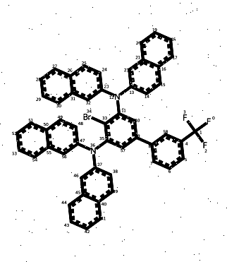 FC(F)(F)c1cccc(-c2cc(N(c3ccc4ccccc4c3)c3ccc4ccccc4c3)c(Br)c(N(c3ccc4ccccc4c3)c3ccc4ccccc4c3)c2)c1